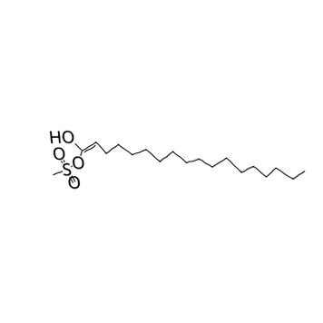 CCCCCCCCCCCCCCCCC=C(O)OS(C)(=O)=O